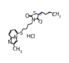 CCC/C=C1/SC(=O)N(CCCCSc2cccc3nc(C)cn23)C1=O.Cl